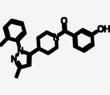 Cc1cc(C2CCN(C(=O)c3cccc(O)c3)CC2)n(-c2ccccc2C)n1